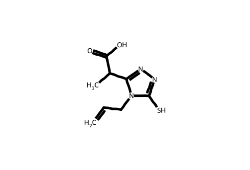 C=CCn1c(S)nnc1C(C)C(=O)O